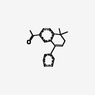 CC(=O)c1ccc2c(c1)C(c1ccccc1)=CCC2(C)C